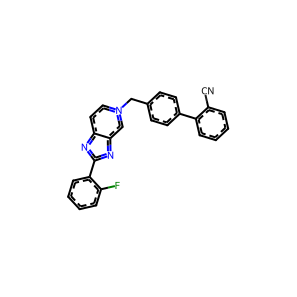 N#Cc1ccccc1-c1ccc(Cn2ccc3nc(-c4ccccc4F)nc-3c2)cc1